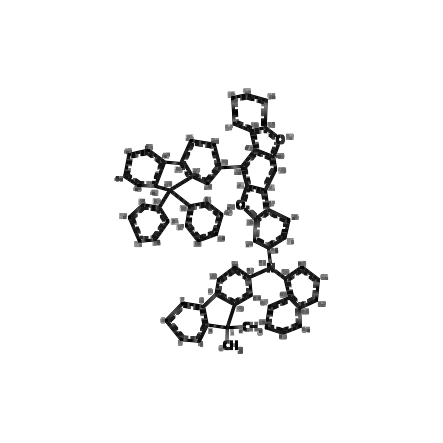 CC1(C)c2ccccc2-c2ccc(N(c3ccc4c(c3)oc3c(-c5ccc6c(c5)C(c5ccccc5)(c5ccccc5)c5ccccc5-6)c5c(cc34)oc3ccccc35)c3cccc4ccccc34)cc21